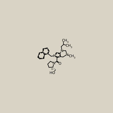 CC(C)CN1CN(C)Cc2c1cn(Cc1cccc3ccccc13)c2C(=O)N1CCC[C@H]1CO